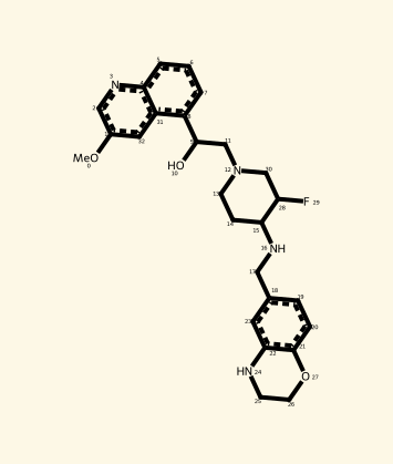 COc1cnc2cccc(C(O)CN3CCC(NCc4ccc5c(c4)NCCO5)C(F)C3)c2c1